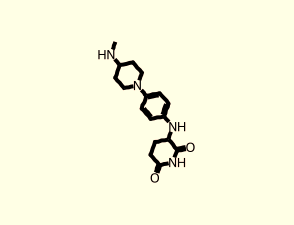 CNC1CCN(c2ccc(NC3CCC(=O)NC3=O)cc2)CC1